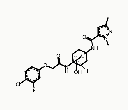 Cc1cc(C(=O)NC23CCC(NC(=O)COc4ccc(Cl)c(F)c4)(CC2)[C@H](O)C3)n(C)n1